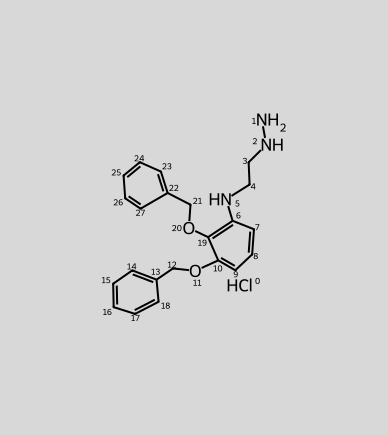 Cl.NNCCNc1cccc(OCc2ccccc2)c1OCc1ccccc1